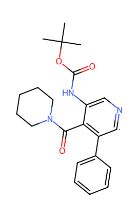 CC(C)(C)OC(=O)Nc1cn[c]c(-c2ccccc2)c1C(=O)N1CCCCC1